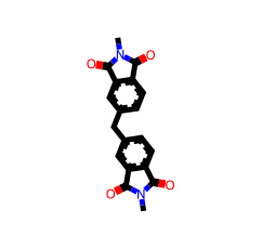 CN1C(=O)c2ccc(Cc3ccc4c(c3)C(=O)N(C)C4=O)cc2C1=O